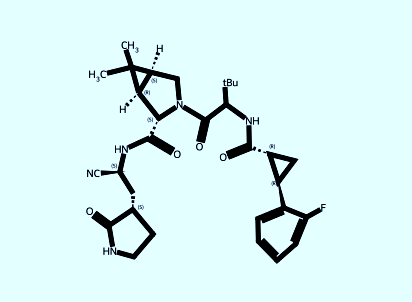 CC(C)(C)C(NC(=O)[C@@H]1C[C@H]1c1ccccc1F)C(=O)N1C[C@H]2[C@@H]([C@H]1C(=O)N[C@H](C#N)C[C@@H]1CCNC1=O)C2(C)C